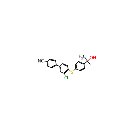 CC(O)(c1ccc(Sc2ccc(-c3ccc(C#N)cc3)cc2Cl)cc1)C(F)(F)F